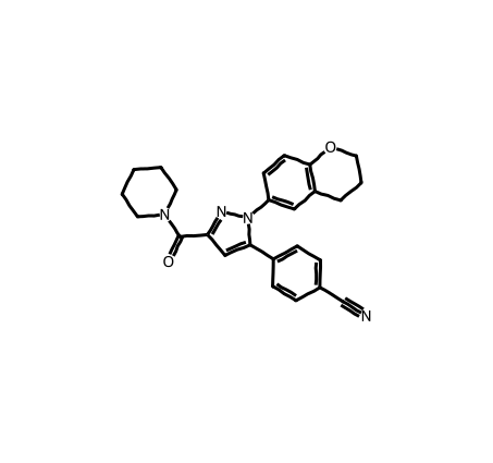 N#Cc1ccc(-c2cc(C(=O)N3CCCCC3)nn2-c2ccc3c(c2)CCCO3)cc1